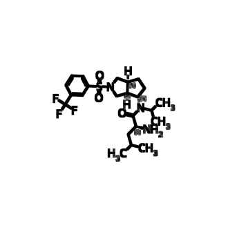 CC(C)C[C@H](N)C(=O)N(C(C)C)[C@H]1CC[C@@H]2CN(S(=O)(=O)c3cccc(C(F)(F)F)c3)C[C@@H]21